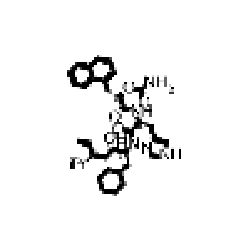 C=C[C@@H](C[C@H](O)[C@H](CC1CCCCC1)NC(=O)[C@H](Cc1c[nH]cn1)NC(=O)[C@H](Cc1cccc2ccccc12)OC(N)=O)C(C)C